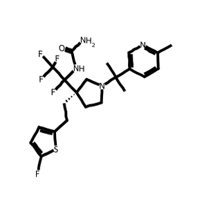 Cc1ccc(C(C)(C)N2CC[C@@](CCc3ccc(F)s3)(C(F)(NC(N)=O)C(F)(F)F)C2)cn1